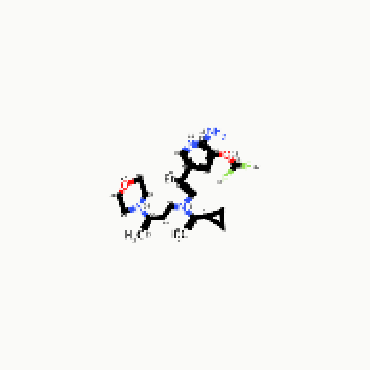 C=C(C1CC1)N(/C=C(\CC)c1cnc(N)c(OC(F)F)c1)CCC(=C)N1CCOCC1